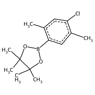 Cc1cc(B2OC(C)(C)C(C)(C)O2)c(C)cc1Cl